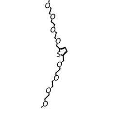 COCCOCCOCCOCc1ccc(COCCOCCOCCOC)s1